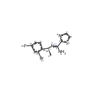 C[C@H](/N=C(\N)c1nccs1)c1ccc(F)cc1Br